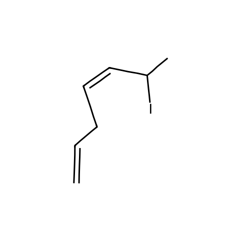 C=CC/C=C\C(C)I